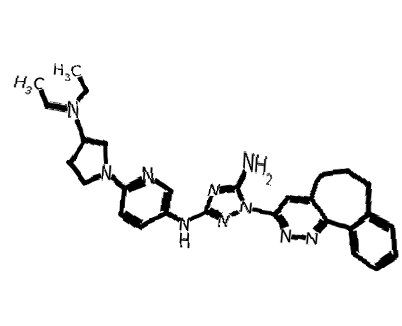 CCN(CC)C1CCN(c2ccc(Nc3nc(N)n(-c4cc5c(nn4)-c4ccccc4CCC5)n3)cn2)C1